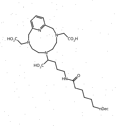 CCCCCCCCCCCCCCCC(=O)NCCCC(C(=O)O)N1CCN(CC(=O)O)Cc2cccc(n2)CN(CC(=O)O)CC1